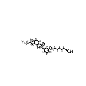 C#CCCCCCCOc1cccc(NC(=O)c2ccc3nc(C)sc3c2)c1